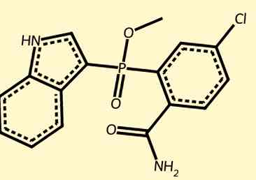 COP(=O)(c1cc(Cl)ccc1C(N)=O)c1c[nH]c2ccccc12